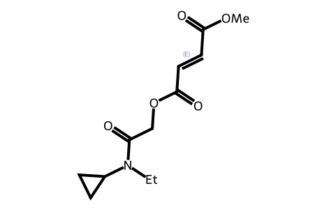 CCN(C(=O)COC(=O)/C=C/C(=O)OC)C1CC1